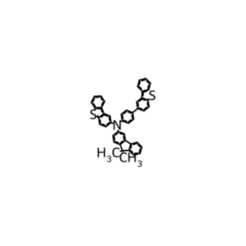 CC1(C)c2ccccc2-c2cc(N(c3ccc(-c4ccc5sc6ccccc6c5c4)cc3)c3ccc4sc5ccccc5c4c3)ccc21